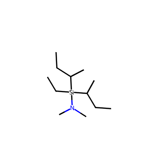 CCC(C)[Si](CC)(C(C)CC)N(C)C